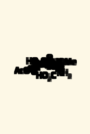 CC(=O)O.CON=C(C(=O)N[C@@H]1C(=O)N2C(C(=O)O)=C(CSc3nc(C(=O)OCOC(C)=O)nn3C)CS[C@H]12)c1csc(N)n1